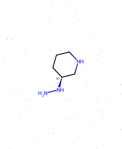 NN[C@H]1CCCNC1